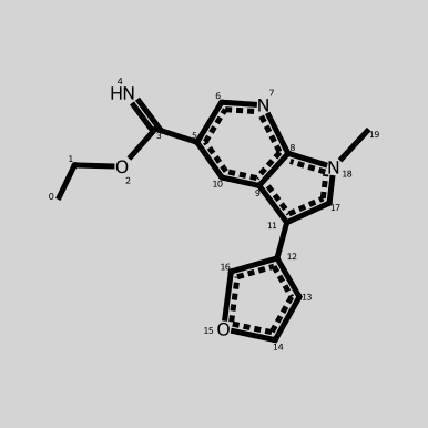 CCOC(=N)c1cnc2c(c1)c(-c1ccoc1)cn2C